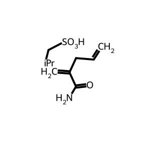 C=CCC(=C)C(N)=O.CC(C)CS(=O)(=O)O